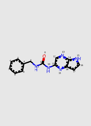 O=C(NCc1ccccc1)Nc1cnc2[nH]ccc2n1